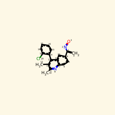 C=C(N=O)c1ccc2nc(C)c(C)c(-c3ccccc3Cl)c2c1